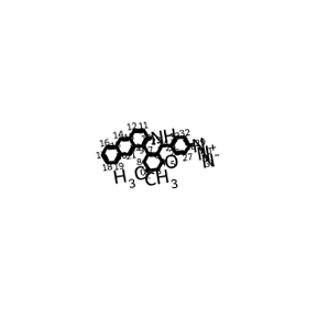 CC1(C)CC(=O)C2=C(C1)c1c(ccc3cc4ccccc4cc13)NC2c1ccc(N=[N+]=[N-])cc1